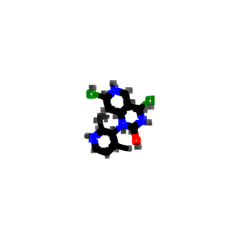 Cc1ccnc(C(C)C)c1-n1c(=O)nc(Cl)c2cnc(Cl)cc21